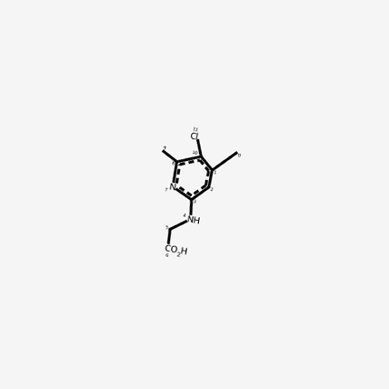 Cc1cc(NCC(=O)O)nc(C)c1Cl